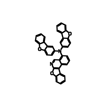 c1ccc2c(c1)oc1ccc(N(c3ccc4oc5ccccc5c4c3)c3cccc4c3cnc3oc5ccccc5c34)cc12